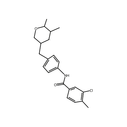 Cc1ccc(C(=O)Nc2ccc(CC3[C]C(C)C(C)OC3)cc2)cc1Cl